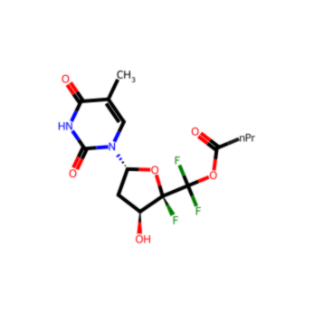 CCCC(=O)OC(F)(F)[C@@]1(F)O[C@@H](n2cc(C)c(=O)[nH]c2=O)C[C@@H]1O